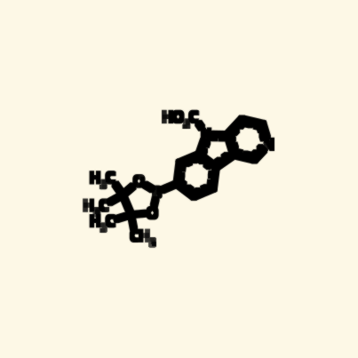 CC1(C)OB(c2ccc3c4cnccc4n(C(=O)O)c3c2)OC1(C)C